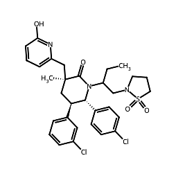 CCC(CN1CCCS1(=O)=O)N1C(=O)[C@](C)(Cc2cccc(O)n2)C[C@H](c2cccc(Cl)c2)[C@H]1c1ccc(Cl)cc1